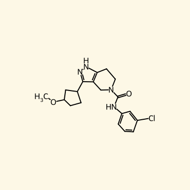 COC1CCC(c2n[nH]c3c2CN(C(=O)Nc2cccc(Cl)c2)CC3)C1